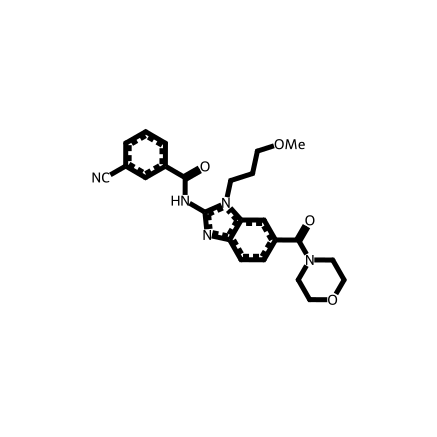 COCCCn1c(NC(=O)c2cccc(C#N)c2)nc2ccc(C(=O)N3CCOCC3)cc21